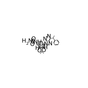 CC(c1ccccc1)c1ncnc2c1ncn2[C@@H]1O[C@H](CNS(N)(=O)=O)[C@H]2OC(C)(C)O[C@H]21